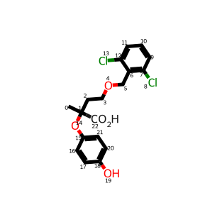 CC(CCOCc1c(Cl)cccc1Cl)(Oc1ccc(O)cc1)C(=O)O